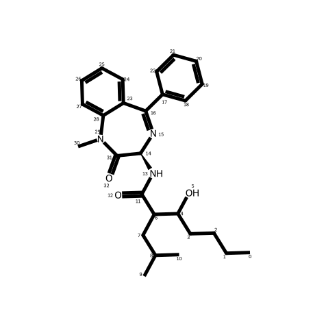 CCCCC(O)C(CC(C)C)C(=O)N[C@@H]1N=C(c2ccccc2)c2ccccc2N(C)C1=O